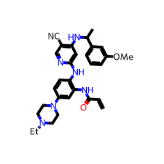 C=CC(=O)Nc1cc(N2CCN(CC)CC2)ccc1Nc1cc(NC(C)c2cccc(OC)c2)c(C#N)cn1